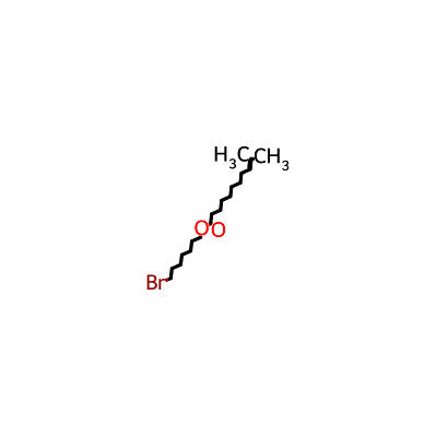 CC(C)=CCCCCCCCC(=O)OCCCCCCCBr